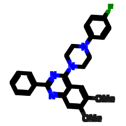 COc1cc2nc(-c3ccccc3)nc(N3CCN(c4ccc(F)cc4)CC3)c2cc1OC